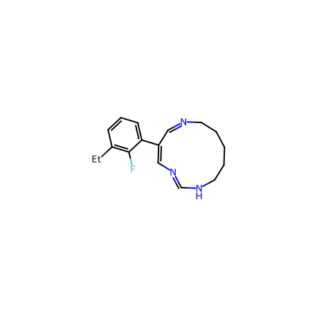 CCc1cccc(C2=C/N=C/NCCCCC/N=C\2)c1F